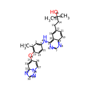 Cc1cc(Nc2ncnc3ccc(CCC(C)(C)O)cc23)ccc1Oc1ccn2ncnc2c1